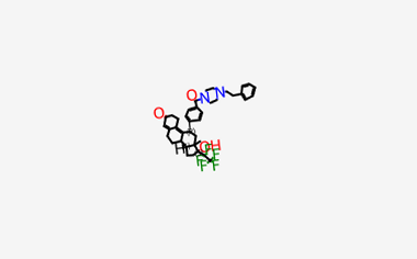 CC12C[C@H](c3ccc(C(=O)N4CCN(CCc5ccccc5)CC4)cc3)C3=C4CCC(=O)C=C4CCC3[C@@H]1CC[C@@]2(O)C(F)(F)C(F)(F)F